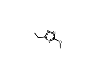 CCc1nc(OC)ns1